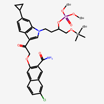 CC(C)(C)OP(=O)(OC(CCn1cc(C(=O)COc2cc3ccc(Cl)cc3cc2C(N)=O)c2ccc(C3CC3)cc21)CO[Si](C)(C)C(C)(C)C)OC(C)(C)C